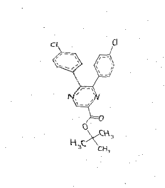 CC(C)(C)OC(=O)c1cnc(-c2ccc(Cl)cc2)c(-c2ccc(Cl)cc2)n1